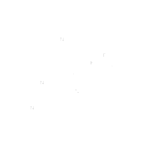 Cc1ccc(NC(=O)C2CC3CN(C)CC3NC2c2ccc(NC3CCCC3)cc2)cc1C(F)(F)F